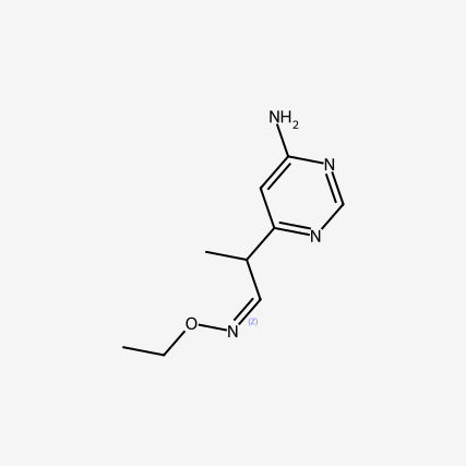 CCO/N=C\C(C)c1cc(N)ncn1